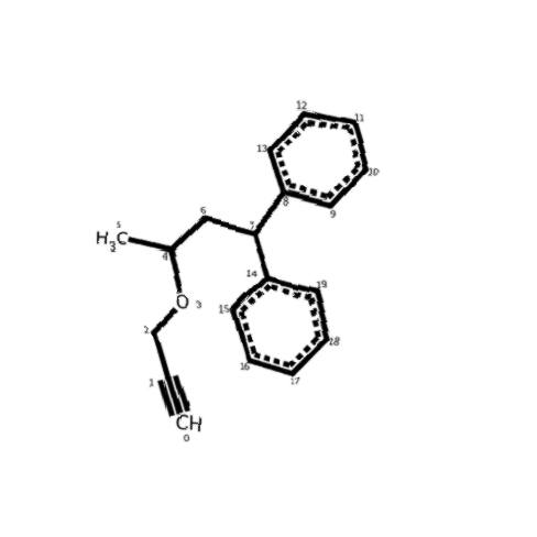 C#CCOC(C)CC(c1ccccc1)c1ccccc1